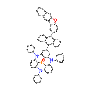 O=P12c3c4cccc3N(c3ccccc3)c3cc(-c5c6ccccc6c(-c6ccc7oc8cc9ccccc9cc8c7c6)c6ccccc56)cc(c31)N(c1ccccc1)c1cccc(c12)N4c1ccccc1